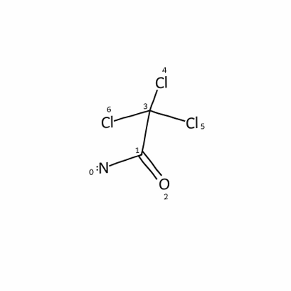 [N]C(=O)C(Cl)(Cl)Cl